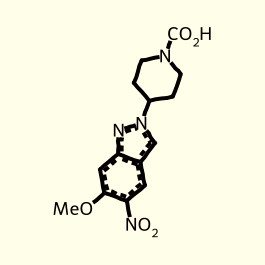 COc1cc2nn(C3CCN(C(=O)O)CC3)cc2cc1[N+](=O)[O-]